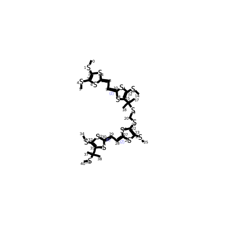 CSC1=C(SC)SC(=C/C=C2\SC(SC)=C(C(C)(C)SCSC3=C(SC)S/C(=C/C=C4/SC(SC)=C(C(C)(C)SC)S4)S3)S2)S1